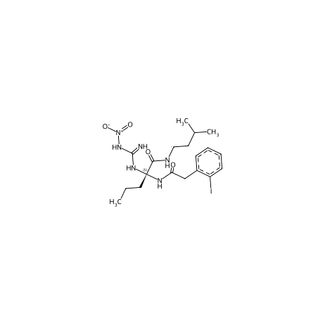 CCC[C@](NC(=N)N[N+](=O)[O-])(NC(=O)Cc1ccccc1I)C(=O)N[CH]CC(C)C